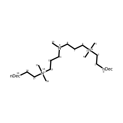 CCCCCCCCCCCC[N+](C)(C)CCCN(C)CCC[N+](C)(C)CCCCCCCCCCCC